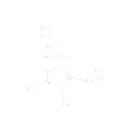 CCCCN1C=CN(C)C1C.O.O.O.O.O.O=S(=O)(O)O